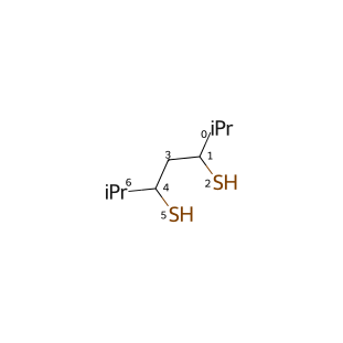 CC(C)C(S)CC(S)C(C)C